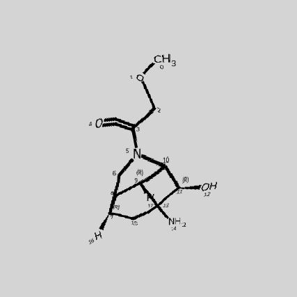 COCC(=O)N1C[C@@H]2C[C@@H]3C1[C@@H](O)C3(N)C2